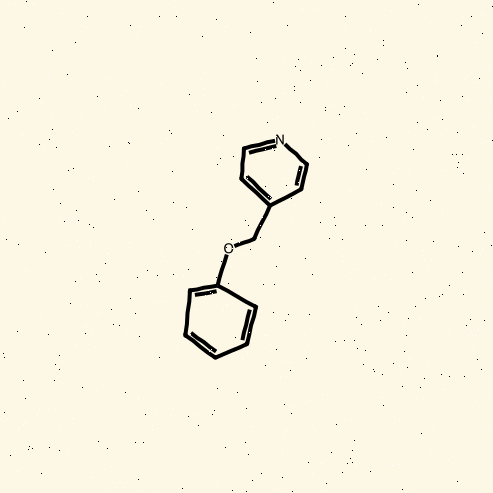 c1ccc(OCc2ccncc2)cc1